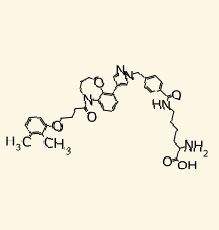 Cc1cccc(OCCCC(=O)N2CCCOc3c(-c4cnn(Cc5ccc(C(=O)NCCCCC(N)C(=O)O)cc5)c4)cccc32)c1C